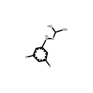 OC(O)O[SiH2]c1cc(F)cc(F)c1